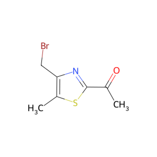 CC(=O)c1nc(CBr)c(C)s1